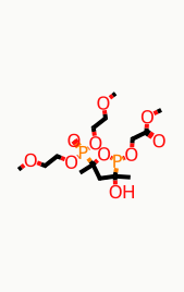 COCCOP(=O)(OCCOC)C1(C)CC(C)(O)P(OCC(=O)OC)O1